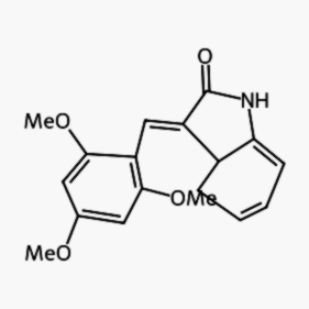 COc1cc(OC)c(C=C2C(=O)NC3=CC=CCC32)c(OC)c1